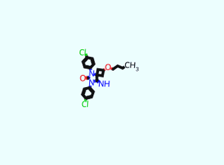 CCCCOC1CC2(C1)C(=N)N(c1ccc(Cl)cc1)C(=O)N2c1ccc(Cl)cc1